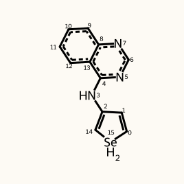 C1=CC(Nc2ncnc3ccccc23)=C[SeH2]1